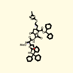 CO/N=C(/C(=O)NC1C(=O)N2C(C(=O)OC(c3ccccc3)c3ccccc3)=C(/C=C/Sc3nnc(C)s3)CC(=O)C12)c1csc(NC(c2ccccc2)(c2ccccc2)c2ccccc2)n1